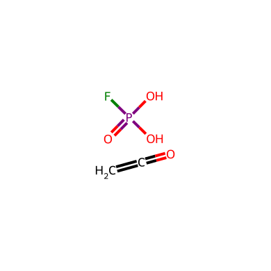 C=C=O.O=P(O)(O)F